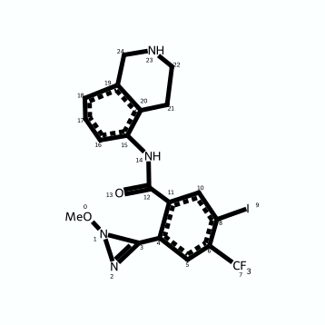 CON1N=C1c1cc(C(F)(F)F)c(I)cc1C(=O)Nc1cccc2c1CCNC2